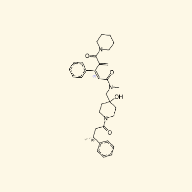 C=C(C(=O)N1CCCCC1)/C(=C\C(=O)N(C)CC1(O)CCN(C(=O)C[C@@H](C)c2ccccc2)CC1)c1ccccc1